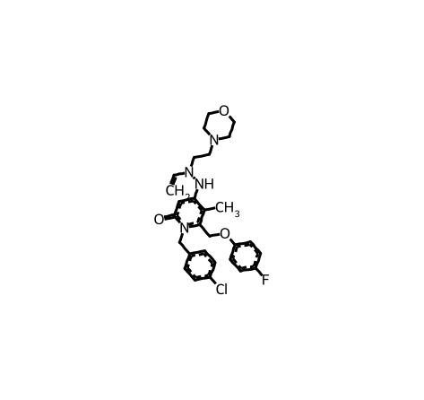 C=CN(CCN1CCOCC1)Nc1cc(=O)n(Cc2ccc(Cl)cc2)c(COc2ccc(F)cc2)c1C